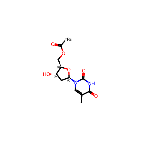 Cc1cn([C@H]2C[C@H](O)[C@@H](COC(=O)C(C)(C)C)O2)c(=O)[nH]c1=O